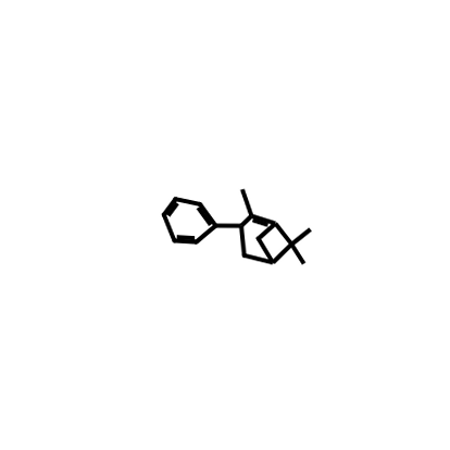 CC1=C2CC(CC1c1ccccc1)C2(C)C